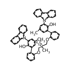 Cc1cc(-c2ccccc2OC[Si](C)(C)COc2ccccc2-c2cc(C)cc(-n3c4ccccc4c4ccccc43)c2O)c(O)c(-n2c3ccccc3c3ccccc32)c1